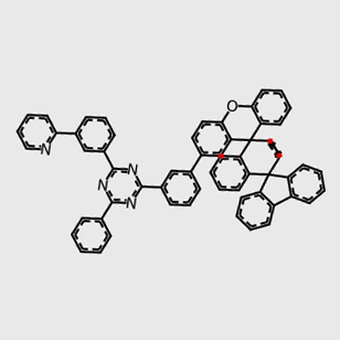 c1ccc(-c2nc(-c3cccc(-c4ccc5c(c4)C4(c6ccccc6O5)c5ccccc5C5(c6ccccc6-c6ccccc65)c5ccccc54)c3)nc(-c3cccc(-c4ccccn4)c3)n2)cc1